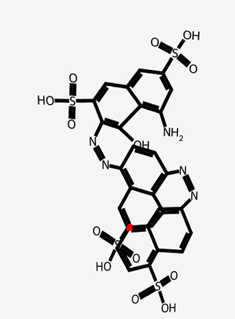 Nc1cc(S(=O)(=O)O)cc2cc(S(=O)(=O)O)c(/N=N\c3ccc(/N=N\c4ccc5c(S(=O)(=O)O)cccc5c4)c4ccc(S(=O)(=O)O)cc34)c(O)c12